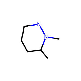 CC1CCC[N]N1C